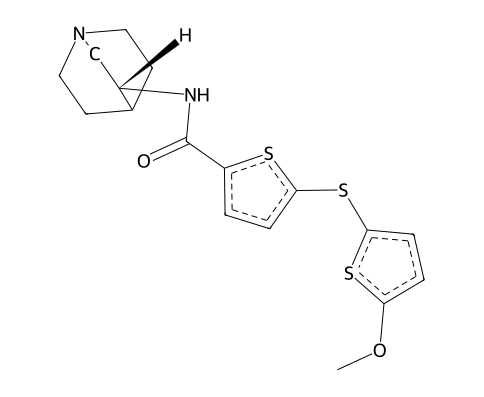 COc1ccc(Sc2ccc(C(=O)N[C@H]3CN4CCC3CC4)s2)s1